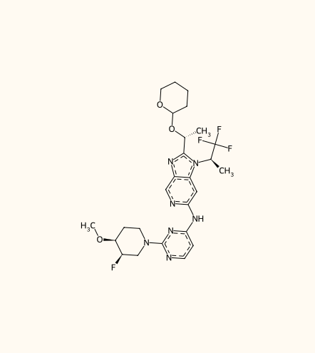 CO[C@H]1CCN(c2nccc(Nc3cc4c(cn3)nc([C@@H](C)OC3CCCCO3)n4[C@H](C)C(F)(F)F)n2)C[C@H]1F